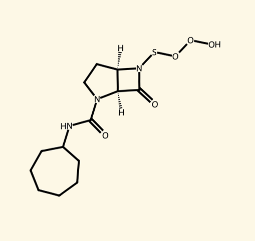 O=C(NC1CCCCCC1)N1CC[C@@H]2[C@H]1C(=O)N2SOOO